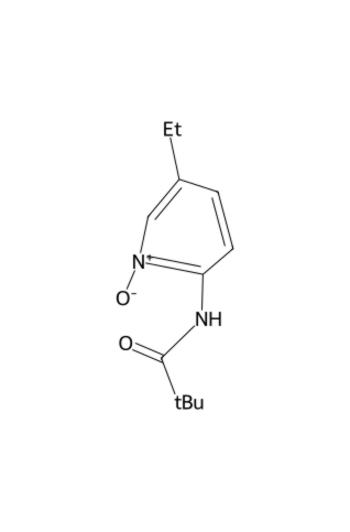 CCc1ccc(NC(=O)C(C)(C)C)[n+]([O-])c1